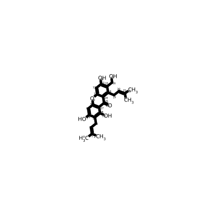 CC(C)=CCc1c(O)cc2oc3cc(O)c(CO)c(CC=C(C)C)c3c(=O)c2c1O